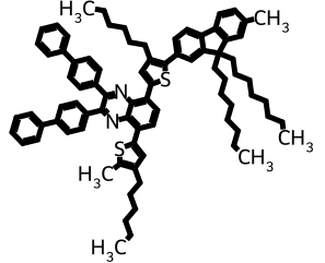 CCCCCCCCC1(CCCCCCCC)c2cc(C)ccc2-c2ccc(-c3sc(-c4ccc(-c5cc(CCCCCC)c(C)s5)c5nc(-c6ccc(-c7ccccc7)cc6)c(-c6ccc(-c7ccccc7)cc6)nc45)cc3CCCCCC)cc21